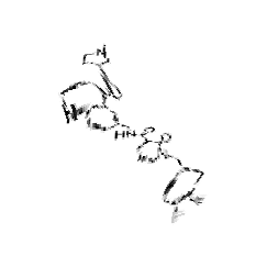 CN1CCC(Oc2ccnc3ccc(CNC(=O)c4cccn(Cc5ccc(F)c(F)c5)c4=O)cc23)C1